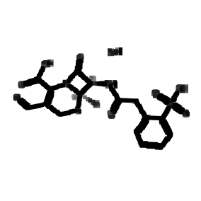 O=CC1=C(C(=O)O)N2C(=O)[C@@H](NC(=O)Cc3ccccc3S(=O)(=O)O)[C@H]2SC1.[NaH]